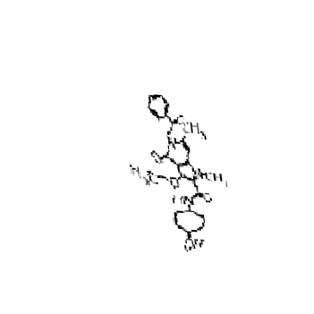 CCOc1c(C(=O)NC2CCC(O)CC2)n(C)c2cc(C)n(CC(=O)c3ccccc3)c(=O)c12